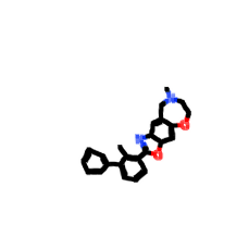 Cc1c(C2=NC3C=C4CN(C)CCOC4=CC3O2)cccc1-c1ccccc1